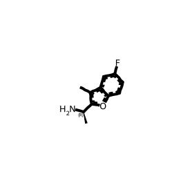 Cc1c([C@@H](C)N)oc2ccc(F)cc12